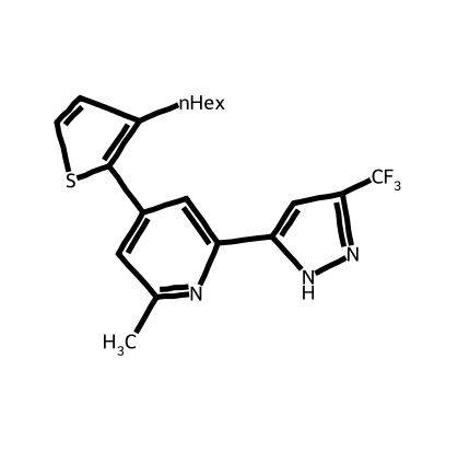 CCCCCCc1ccsc1-c1cc(C)nc(-c2cc(C(F)(F)F)n[nH]2)c1